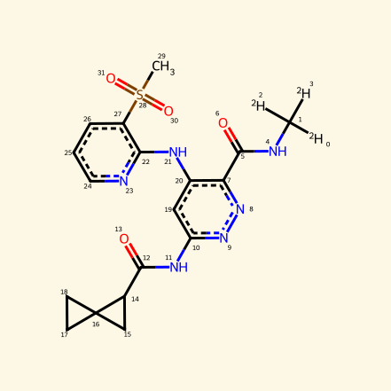 [2H]C([2H])([2H])NC(=O)c1nnc(NC(=O)C2CC23CC3)cc1Nc1ncccc1S(C)(=O)=O